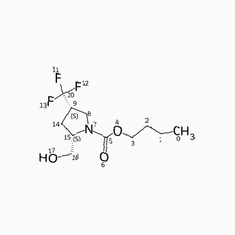 CCCCOC(=O)N1C[C@@H](C(F)(F)F)C[C@H]1CO